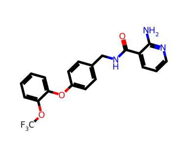 Nc1ncccc1C(=O)NCc1ccc(Oc2ccccc2OC(F)(F)F)cc1